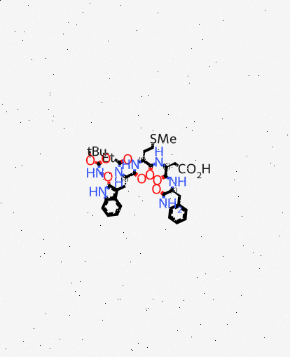 CCC(=O)N[C@@H](Cc1c(ONC(=O)OC(C)(C)C)[nH]c2ccccc12)C(=O)N[C@@H](CCSC)C(=O)N[C@@H](CC(=O)O)C(=O)N[C@@H](Cc1ccccc1)C(N)=O